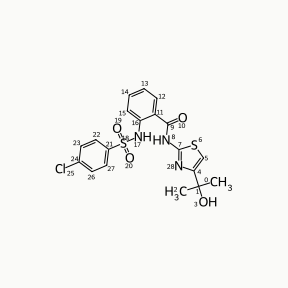 CC(C)(O)c1csc(NC(=O)c2ccccc2NS(=O)(=O)c2ccc(Cl)cc2)n1